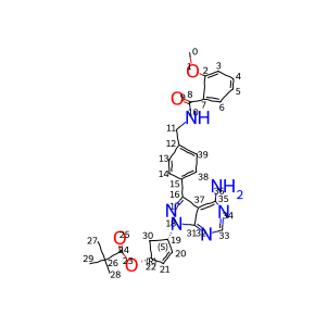 COc1ccccc1C(=O)NCc1ccc(-c2nn([C@@H]3C=C[C@H](OC(=O)C(C)(C)C)C3)c3ncnc(N)c23)cc1